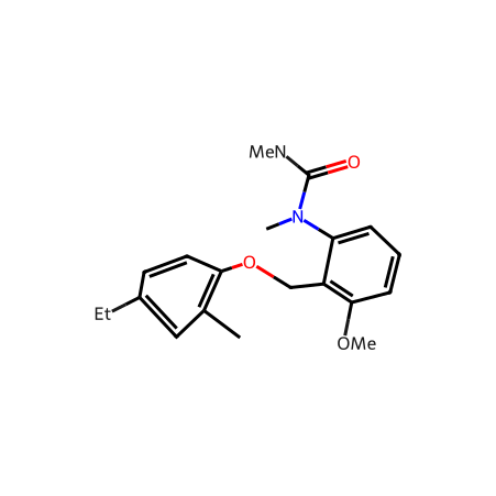 CCc1ccc(OCc2c(OC)cccc2N(C)C(=O)NC)c(C)c1